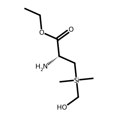 CCOC(=O)[C@@H](N)C[Si](C)(C)CO